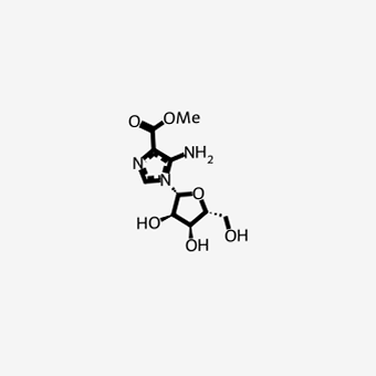 COC(=O)c1ncn([C@@H]2O[C@H](CO)[C@@H](O)[C@H]2O)c1N